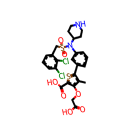 Cc1c(-c2cccc(N(C3CCNCC3)S(=O)(=O)Cc3cccc(Cl)c3Cl)c2)sc(C(=O)O)c1OCC(=O)O